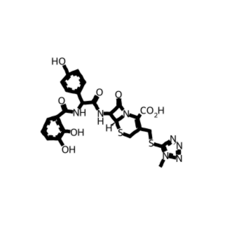 Cn1nnnc1SCC1=C(C(=O)O)N2C(=O)C(NC(=O)C(NC(=O)c3cccc(O)c3O)c3ccc(O)cc3)[C@@H]2SC1